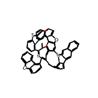 CC1C/C=C2/C(=C(c3cccc4oc5ccccc5c34)\N=C/1c1cccc3sc4ccccc4c13)Cc1ccc3c4cc5ccccc5cc4n(c3c1)-c1cc3oc4ccc5ccccc5c4c3cc12